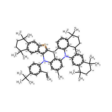 C=Cc1cc(C(C)(C)C)ccc1N1c2cc(C)cc3c2B(c2ccc4c5c2N3c2cc3c(cc2C5(C)CCC4(C)C)C(C)(C)CCC3(C)C)c2sc3cc4c(cc3c21)C(C)(C)CCC4(C)C